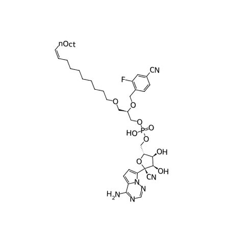 CCCCCCCC/C=C\CCCCCCCCOC[C@H](COP(=O)(O)OC[C@H]1O[C@@](C#N)(c2ccc3c(N)ncnn23)[C@H](O)[C@@H]1O)OCc1ccc(C#N)cc1F